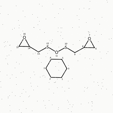 C1CCCCC1.C1OC1CSOSCC1CO1